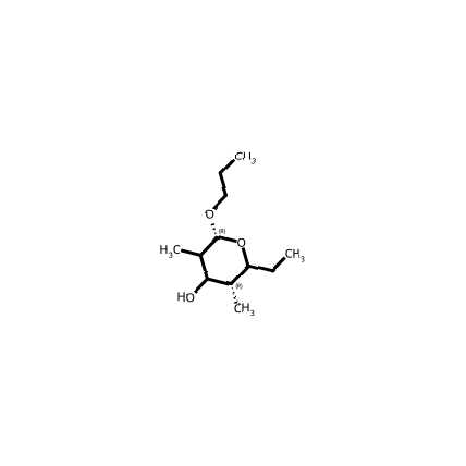 CCCO[C@@H]1OC(CC)[C@H](C)C(O)C1C